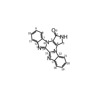 O=C1NCc2c1n1c3ccccc3nc1c1nc3ccccc3n21